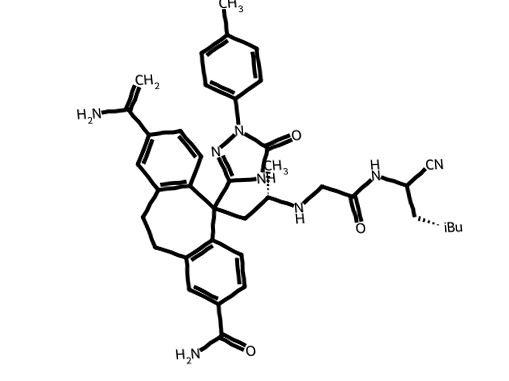 C=C(N)c1ccc2c(c1)CCc1cc(C(N)=O)ccc1C2(C[C@H](C)NCC(=O)NC(C#N)C[C@@H](C)CC)c1nn(-c2ccc(C)cc2)c(=O)[nH]1